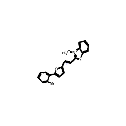 C[n+]1c(/C=C/c2ccc(-c3ccccc3Br)o2)sc2ccccc21